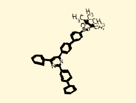 CC1(C)OB(c2ccc(-c3ccc(-c4cc(-c5ccccc5)nc(-c5ccc(-c6ccccc6)cc5)n4)cc3)cc2)OC1(C)C